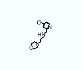 Clc1ccnc(CNCCCN2CCOCC2)c1